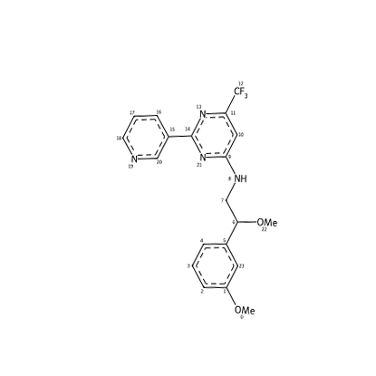 COc1cccc(C(CNc2cc(C(F)(F)F)nc(-c3cccnc3)n2)OC)c1